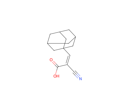 N#CC(=CC12CC3CC(CC(C3)C1)C2)C(=O)O